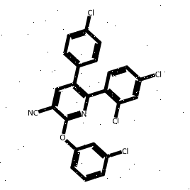 N#Cc1cc(-c2ccc(Cl)cc2)c(-c2ccc(Cl)cc2Cl)nc1Oc1cccc(Cl)c1